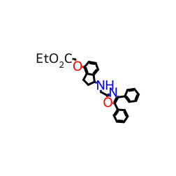 CCOC(=O)COc1cccc2c1CCC2NCc1nc(-c2ccccc2)c(-c2ccccc2)o1